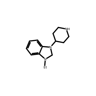 CCN1CN(C2CCNCC2)c2ccccc21